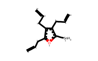 C=CCc1o[c]([SnH3])c(CC=C)c1CC=C